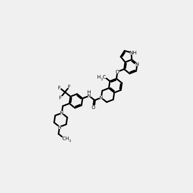 CCN1CCN(Cc2ccc(NC(=O)N3CCc4ccc(Oc5ccnc6[nH]ccc56)c(C)c4C3)cc2C(F)(F)F)CC1